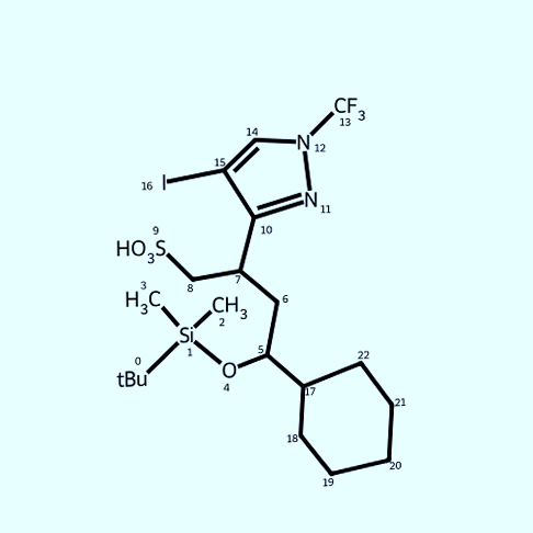 CC(C)(C)[Si](C)(C)OC(CC(CS(=O)(=O)O)c1nn(C(F)(F)F)cc1I)C1CCCCC1